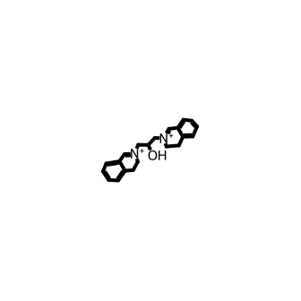 OC(C[N+]1=Cc2ccccc2CC1)C[N+]1=Cc2ccccc2CC1